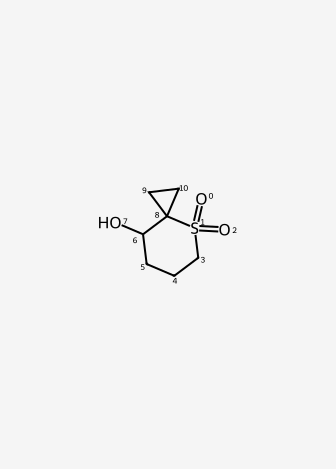 O=S1(=O)CCCC(O)C12CC2